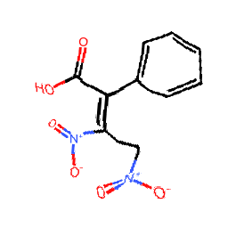 O=C(O)/C(=C(/C[N+](=O)[O-])[N+](=O)[O-])c1ccccc1